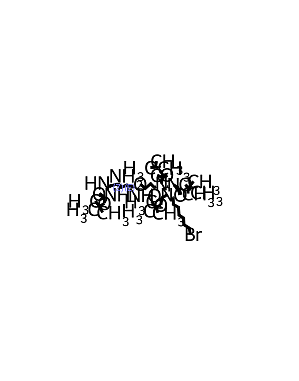 CC(C)(C)OC(=O)N=C(N(CCCCCCCBr)C(=O)OC(C)(C)C)N(CCCO/C(N)=C/C=C(\N)C(=N)NC(=O)OC(C)(C)C)C(=O)OC(C)(C)C